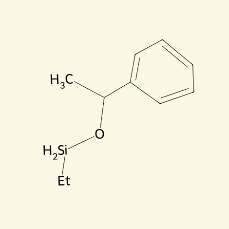 [CH2]C[SiH2]OC(C)c1ccccc1